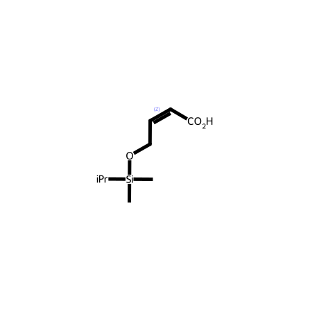 CC(C)[Si](C)(C)OC/C=C\C(=O)O